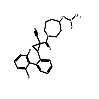 C[S+]([O-])NC1CCCN(C(=O)C2(C#N)CC2c2ccccc2-c2c(F)cccc2F)CC1